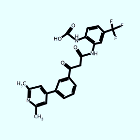 Cc1cc(-c2cccc(C(=O)CC(=O)Nc3cc(C(F)(F)F)ccc3NC(=O)O)c2)cc(C)n1